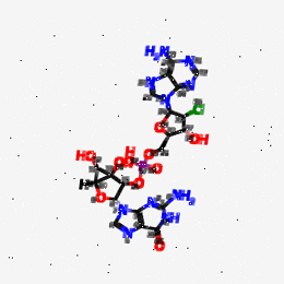 Nc1nc2c(ncn2[C@@H]2O[C@@H]3C(O)[C@]3(O)[C@H]2OP(=O)(O)OC[C@H]2O[C@@H](n3cnc4c(N)ncnc43)[C@@H](Cl)[C@@H]2O)c(=O)[nH]1